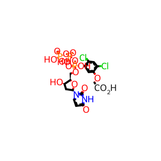 O=C(O)COc1ccc(Cl)cc1Cl.O=c1ccn([C@H]2C[C@H](O)[C@@H](COP(=O)(O)OP(=O)(O)OP(=O)(O)O)O2)c(=O)[nH]1